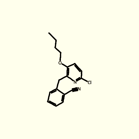 CCCCOc1ccc(Cl)nc1Cc1ccccc1C#N